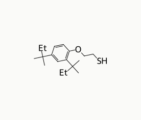 CCC(C)(C)c1ccc(OCCS)c(C(C)(C)CC)c1